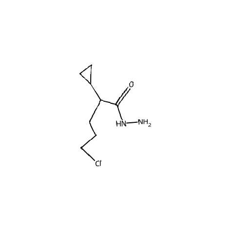 NNC(=O)C(CCCCl)C1CC1